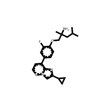 CC(C)CC(C)(N)COc1ccc(-c2ccnn3cc(C4CC4)nc23)cc1F